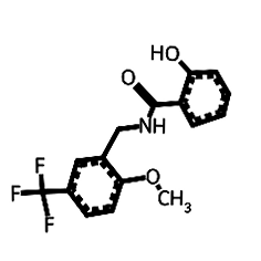 COc1ccc(C(F)(F)F)cc1CNC(=O)c1ccccc1O